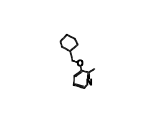 Cc1ncccc1OCC1CCCCC1